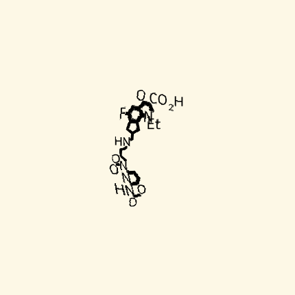 CCn1cc(C(=O)O)c(=O)c2cc(F)c3c(c21)CC(CNCCC1CN(c2ccc4c(n2)NC(=O)CO4)C(=O)O1)C3